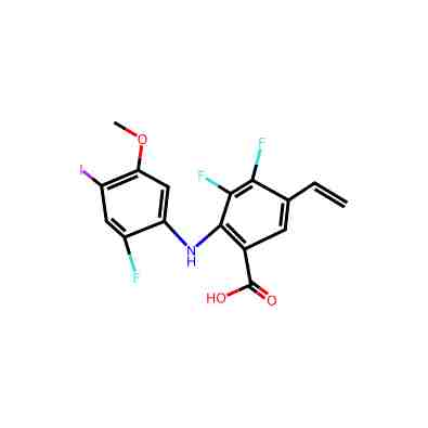 C=Cc1cc(C(=O)O)c(Nc2cc(OC)c(I)cc2F)c(F)c1F